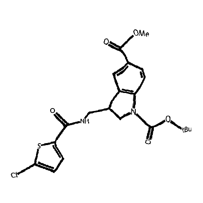 COC(=O)c1ccc2c(c1)C(CNC(=O)c1ccc(Cl)s1)CN2C(=O)OC(C)(C)C